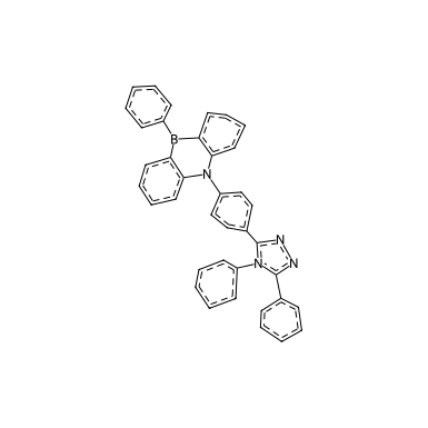 c1ccc(B2c3ccccc3N(c3ccc(-c4nnc(-c5ccccc5)n4-c4ccccc4)cc3)c3ccccc32)cc1